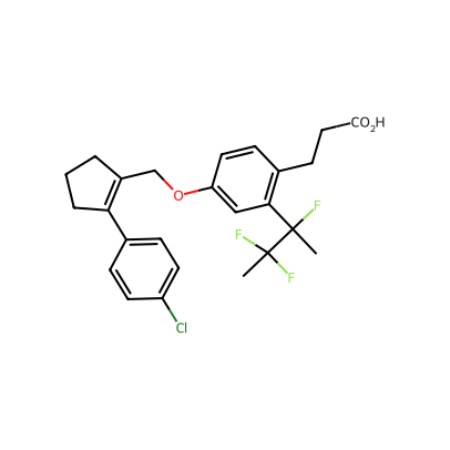 CC(F)(F)C(C)(F)c1cc(OCC2=C(c3ccc(Cl)cc3)CCC2)ccc1CCC(=O)O